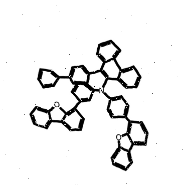 c1ccc(-c2ccc(-c3c(N(c4ccc(-c5cccc6c5oc5ccccc56)cc4)c4cccc(-c5cccc6c5oc5ccccc56)c4)c4ccccc4c4ccccc34)cc2)cc1